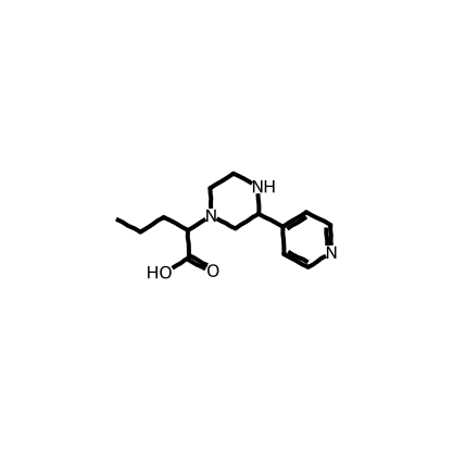 CCCC(C(=O)O)N1CCNC(c2ccncc2)C1